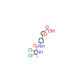 Cc1[nH]c(C(=O)Nc2ccc(-c3ccc(C(=O)O)o3)cc2)c(Cl)c1Cl